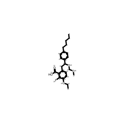 CCCCCc1ccc(C(Cc2ccc(OCC)c(F)c2C(=O)O)OCOC)cc1